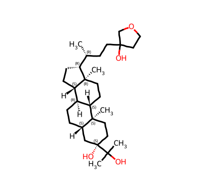 C[C@H](CCC1(O)CCOC1)[C@H]1CC[C@H]2[C@@H]3CC[C@H]4C[C@](O)(C(C)(C)O)CC[C@]4(C)[C@H]3CC[C@]12C